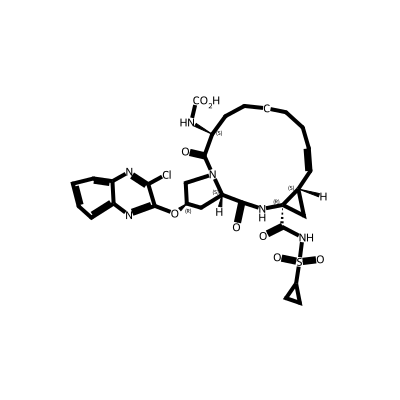 O=C(O)N[C@H]1CCCCCC=C[C@@H]2C[C@@]2(C(=O)NS(=O)(=O)C2CC2)NC(=O)[C@@H]2C[C@@H](Oc3nc4ccccc4nc3Cl)CN2C1=O